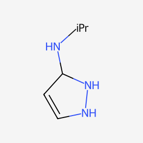 CC(C)NC1C=CNN1